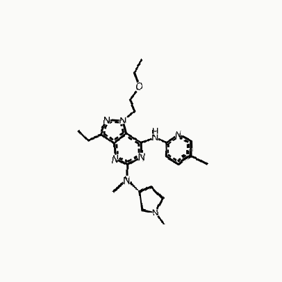 CCOCCn1nc(CC)c2nc(N(C)[C@H]3CCN(C)C3)nc(Nc3ccc(C)cn3)c21